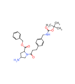 CC(C)(C)OC(=O)NCc1ccc(CCC(=O)N2CC(N)CC2C(=O)OCc2ccccc2)cc1